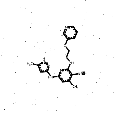 [C-]#[N+]c1c(C)cc(Nc2cc(C)[nH]n2)nc1NCCOc1cccnc1